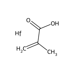 C=C(C)C(=O)O.[Hf]